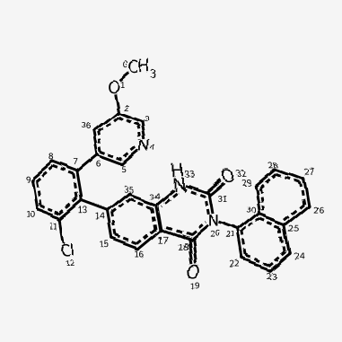 COc1cncc(-c2cccc(Cl)c2-c2ccc3c(=O)n(-c4cccc5ccccc45)c(=O)[nH]c3c2)c1